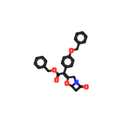 O=C(OCc1ccccc1)C(=C1CN2C(=O)CC2O1)c1ccc(OCc2ccccc2)cc1